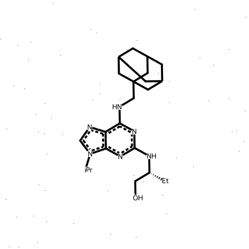 CC[C@H](CO)Nc1nc(NCC23CC4CC(CC(C4)C2)C3)c2ncn(C(C)C)c2n1